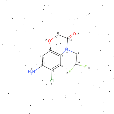 Nc1cc2c(cc1Cl)N(CC(F)F)C(=O)CO2